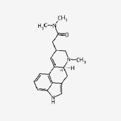 CN(C)C(=O)CC1C=C2c3cccc4[nH]cc(c34)C[C@@H]2N(C)C1